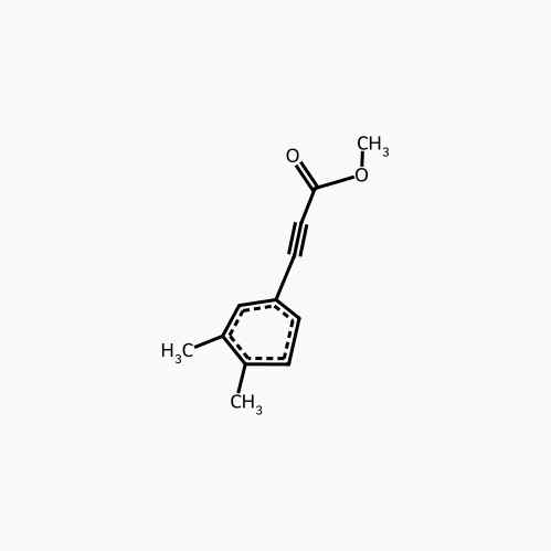 COC(=O)C#Cc1ccc(C)c(C)c1